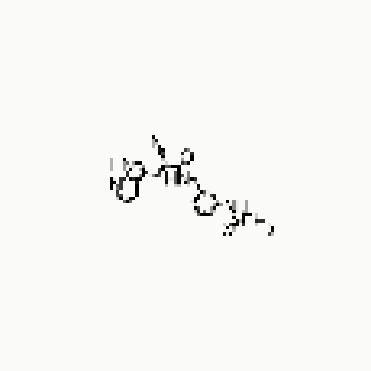 C[S+]([O-])Nc1cccc(CNC(=O)/C(C#N)=C/c2c[nH]c3ncccc23)c1